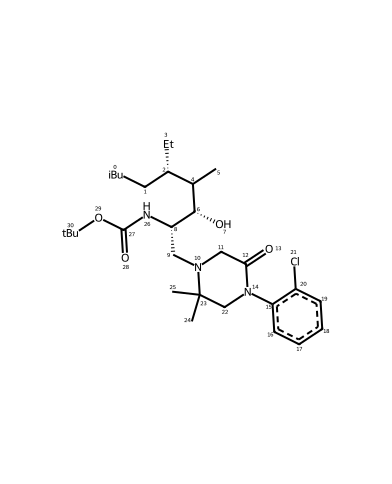 CCC(C)C[C@H](CC)C(C)[C@H](O)[C@H](CN1CC(=O)N(c2ccccc2Cl)CC1(C)C)NC(=O)OC(C)(C)C